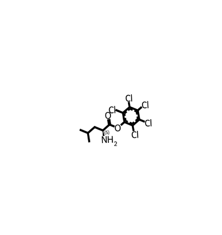 CC(C)C[C@H](N)C(=O)Oc1c(Cl)c(Cl)c(Cl)c(Cl)c1Cl